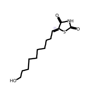 O=C1NC(=O)/C(=C/CCCCCCCCCO)S1